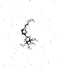 COCCn1ccc(B2OC(C)(C)C(C)(C)O2)n1